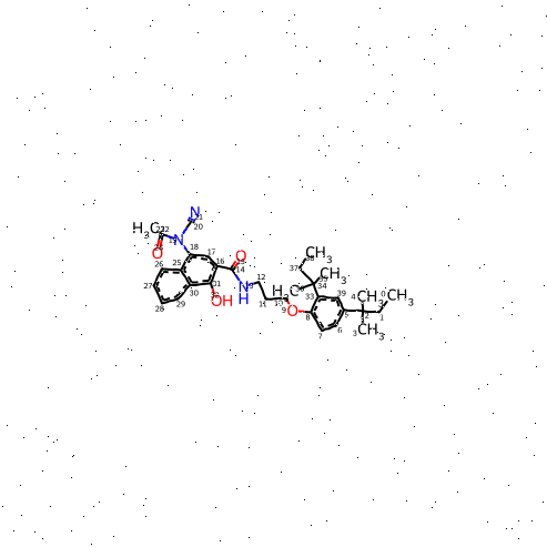 CCC(C)(C)c1ccc(OCCCNC(=O)c2cc(N(C#N)C(C)=O)c3ccccc3c2O)c(C(C)(C)CC)c1